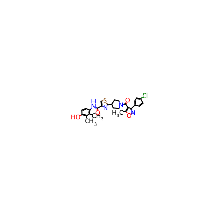 Cc1onc(-c2ccc(Cl)cc2)c1C(=O)N1CCC(c2nc(C(=O)Nc3ccc(O)c(C)c3C)cs2)CC1